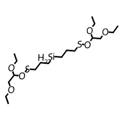 CCOCC(OCC)OSCCC[SiH2]CCCSOC(COCC)OCC